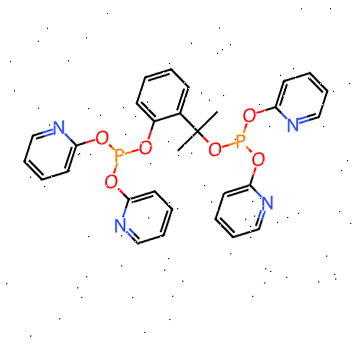 CC(C)(OP(Oc1ccccn1)Oc1ccccn1)c1ccccc1OP(Oc1ccccn1)Oc1ccccn1